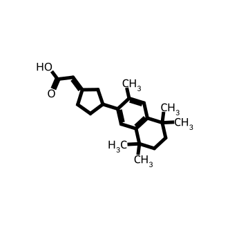 Cc1cc2c(cc1C1CC/C(=C\C(=O)O)C1)C(C)(C)CCC2(C)C